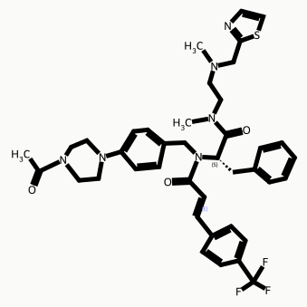 CC(=O)N1CCN(c2ccc(CN(C(=O)/C=C/c3ccc(C(F)(F)F)cc3)[C@@H](Cc3ccccc3)C(=O)N(C)CCN(C)Cc3nccs3)cc2)CC1